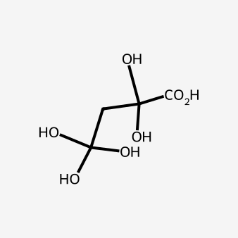 O=C(O)C(O)(O)CC(O)(O)O